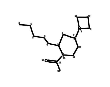 CCCCCC1CN(N2CCC2)CCN1C(C)=O